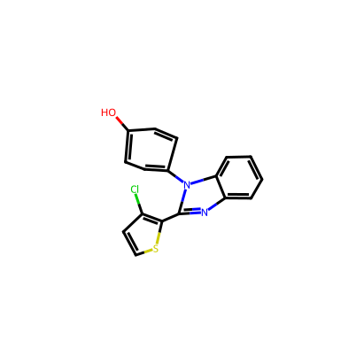 Oc1ccc(-n2c(-c3sccc3Cl)nc3ccccc32)cc1